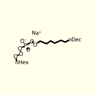 CCCCCCCCCCCCCCCCOOP(=O)([O-])OOOCCCCCC.[Na+]